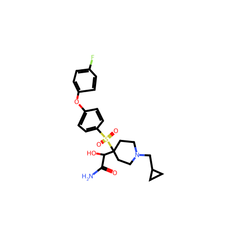 NC(=O)C(O)C1(S(=O)(=O)c2ccc(Oc3ccc(F)cc3)cc2)CCN(CC2CC2)CC1